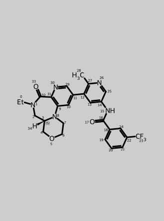 CCN1C[C@H]2COCCN2c2cc(-c3cc(NC(=O)c4cccc(C(F)(F)F)c4)cnc3C)cnc2C1=O